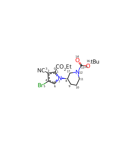 CCOC(=O)c1c(C#N)c(Br)cn1[C@@H]1CCCN(C(=O)OC(C)(C)C)C1